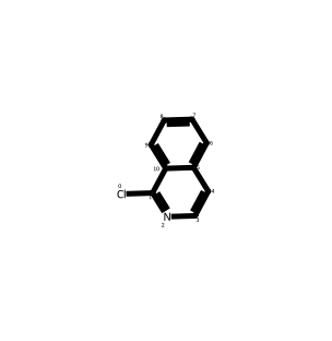 Clc1n[c]cc2ccccc12